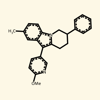 COc1ccc(-c2c3n(c4ccc(C)cc24)CC(c2ccccc2)CC3)cn1